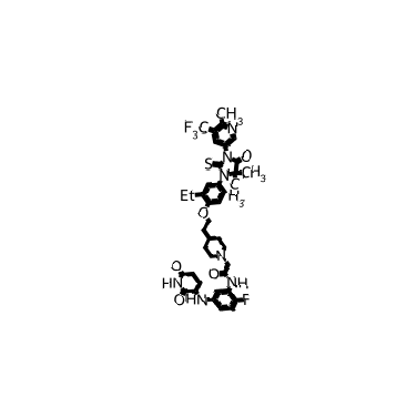 CCc1cc(N2C(=S)N(c3cnc(C)c(C(F)(F)F)c3)C(=O)C2(C)C)ccc1OCCC1CCN(CC(=O)Nc2cc(NC3CCC(=O)NC3=O)ccc2F)CC1